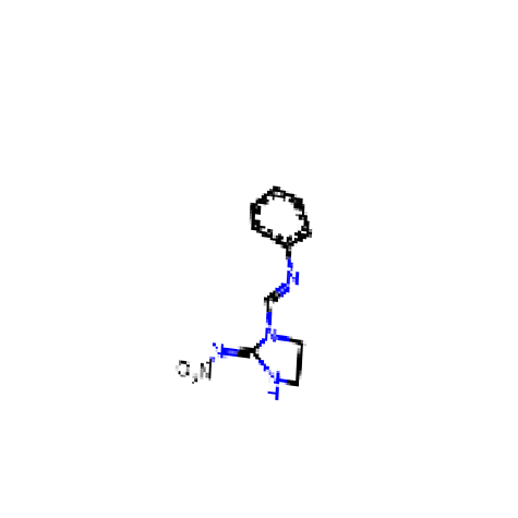 O=[N+]([O-])N=C1NCCN1C=Nc1ccccc1